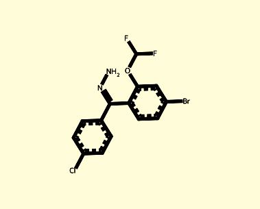 NN=C(c1ccc(Cl)cc1)c1ccc(Br)cc1OC(F)F